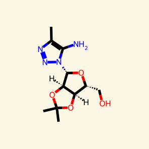 Cc1nnn([C@@H]2O[C@H](CO)[C@H]3OC(C)(C)O[C@H]32)c1N